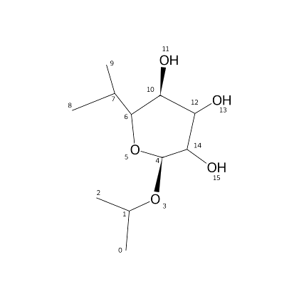 CC(C)O[C@H]1OC(C(C)C)[C@@H](O)C(O)C1O